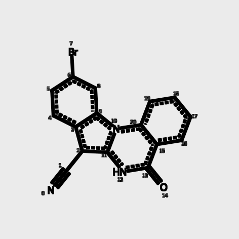 N#Cc1c2ccc(Br)cc2n2c1[nH]c(=O)c1ccccc12